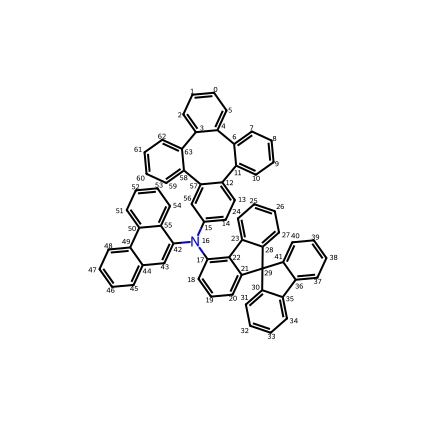 c1ccc2c(c1)-c1ccccc1-c1ccc(N(c3cccc4c3-c3ccccc3C43c4ccccc4-c4ccccc43)c3cc4ccccc4c4ccccc34)cc1-c1ccccc1-2